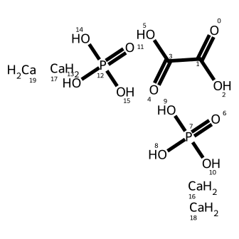 O=C(O)C(=O)O.O=P(O)(O)O.O=P(O)(O)O.[CaH2].[CaH2].[CaH2].[CaH2]